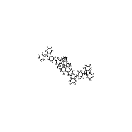 c1ccc(-n2c3ccccc3c3cc(-c4ccc5c(c4)Oc4ccc(-c6ccc7c(c6)c6ccccc6n7-c6ccc(-n7c8ccccc8c8ccccc87)cc6)cc4C54c5cccnc5-c5ncccc54)ccc32)cc1